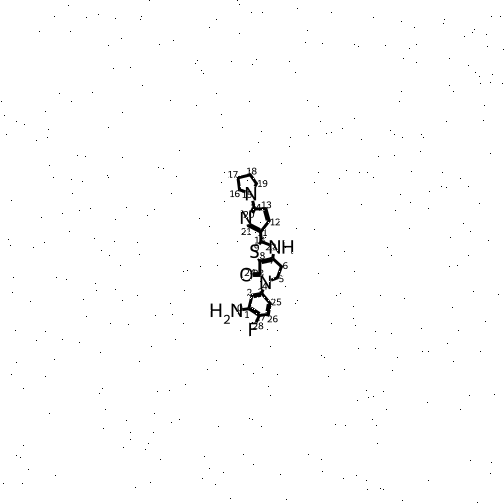 Nc1cc(N2CCC3=C(SC(c4ccc(N5CCCC5)nc4)N3)C2=O)ccc1F